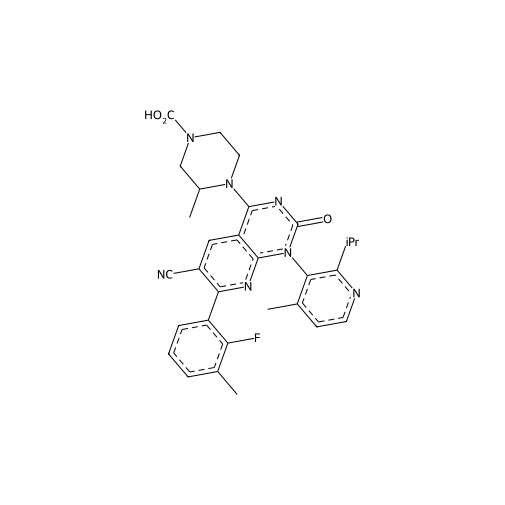 Cc1cccc(-c2nc3c(cc2C#N)c(N2CCN(C(=O)O)CC2C)nc(=O)n3-c2c(C)ccnc2C(C)C)c1F